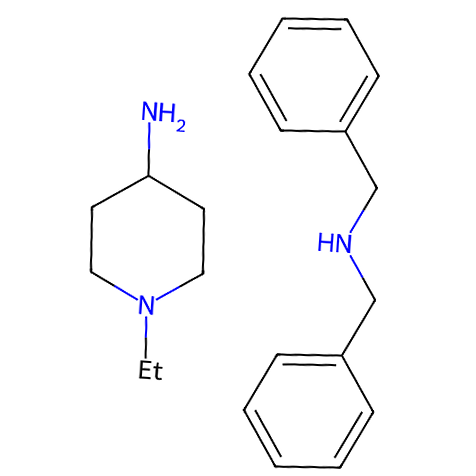 CCN1CCC(N)CC1.c1ccc(CNCc2ccccc2)cc1